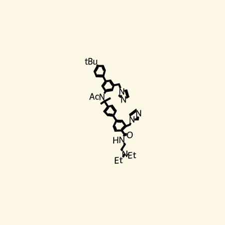 CCN(CC)CCNC(=O)c1ccc(-c2ccc(C(C)(C)N(C(C)=O)c3cc(Cn4ccnc4)cc(-c4ccc(C(C)(C)C)cc4)c3)cc2)cc1Cn1ccnc1